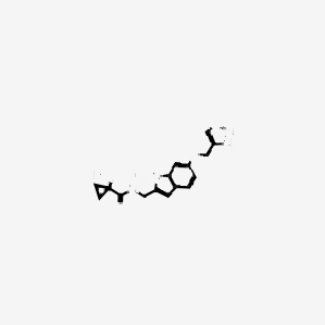 CC1(C(=O)NCc2cc3ccc(OCc4csnn4)cc3[nH]2)CC1